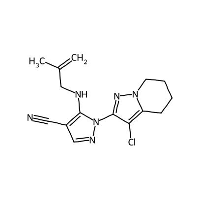 C=C(C)CNc1c(C#N)cnn1-c1nn2c(c1Cl)CCCC2